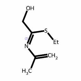 C=C(C)/N=C(/CO)SCC